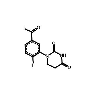 O=C1CCN(c2cc(C(=O)I)ccc2F)C(=O)N1